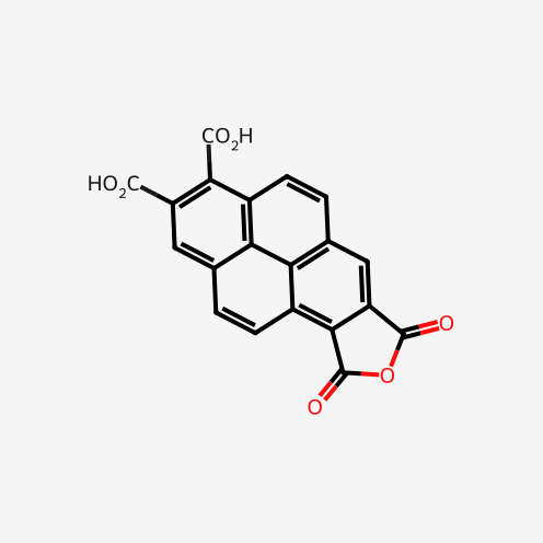 O=C(O)c1cc2ccc3c4c(=O)oc(=O)c4cc4ccc(c1C(=O)O)c2c43